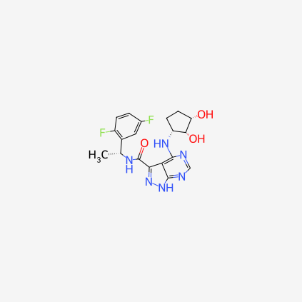 C[C@@H](NC(=O)c1n[nH]c2ncnc(N[C@@H]3CC[C@H](O)[C@@H]3O)c12)c1cc(F)ccc1F